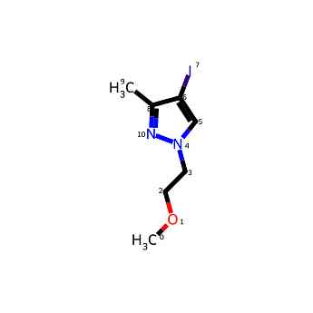 COCCn1cc(I)c(C)n1